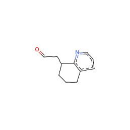 O=CCC1CCCc2cccnc21